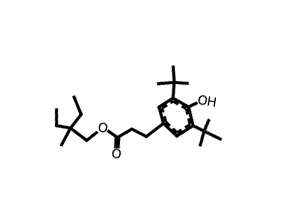 CCC(C)(CC)COC(=O)CCc1cc(C(C)(C)C)c(O)c(C(C)(C)C)c1